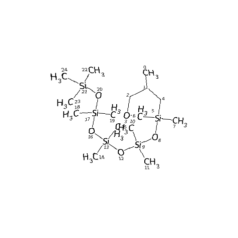 CC(C[O])C[Si](C)(C)O[Si](C)(C)O[Si](C)(C)O[Si](C)(C)O[Si](C)(C)C